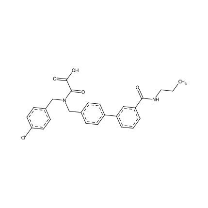 CCCNC(=O)c1cccc(-c2ccc(CN(Cc3ccc(Cl)cc3)C(=O)C(=O)O)cc2)c1